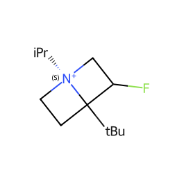 CC(C)[N@@+]12CCC1(C(C)(C)C)C(F)C2